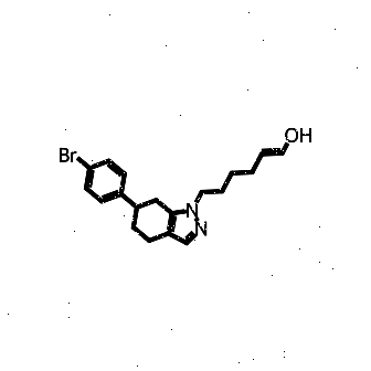 OC=CCCCCn1ncc2c1CC(c1ccc(Br)cc1)CC2